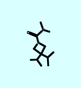 CC(C)C1(C(C)C)CN(C(=O)N(C)C)C1